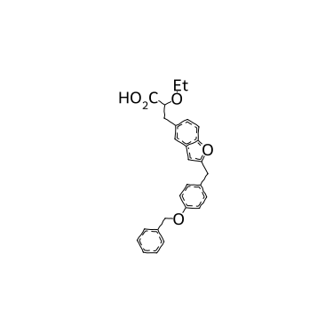 CCOC(Cc1ccc2oc(Cc3ccc(OCc4ccccc4)cc3)cc2c1)C(=O)O